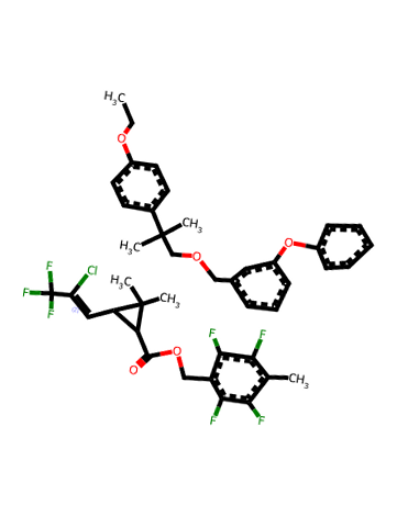 CCOc1ccc(C(C)(C)COCc2cccc(Oc3ccccc3)c2)cc1.Cc1c(F)c(F)c(COC(=O)C2C(/C=C(\Cl)C(F)(F)F)C2(C)C)c(F)c1F